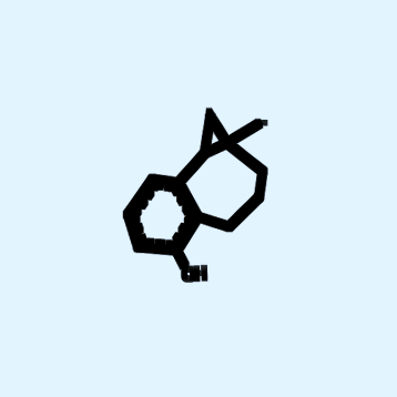 [CH2]C12CCCc3c(O)cccc3C1C2